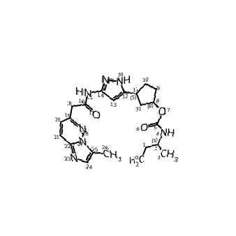 CC[C@H](C)NC(=O)O[C@@H]1CC[C@H](c2cc(NC(=O)Cc3ccc4ncc(C)n4n3)n[nH]2)C1